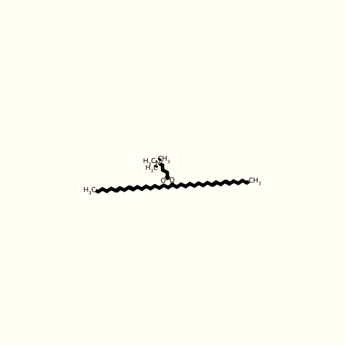 CCCCC/C=C/C/C=C/CCCCCCCCC(CCCCCCCC/C=C/C/C=C/CCCCC)OC(=O)CCC[N+](C)(C)C